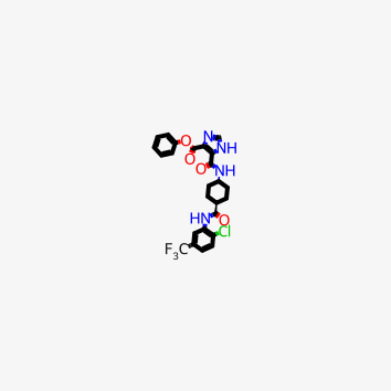 O=C(Oc1ccccc1)c1nc[nH]c1C(=O)N[C@H]1CC[C@H](C(=O)Nc2cc(C(F)(F)F)ccc2Cl)CC1